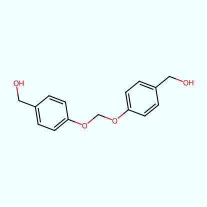 OCc1ccc(OCOc2ccc(CO)cc2)cc1